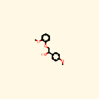 COc1ccc(C(O)COc2ccccc2OC)cc1